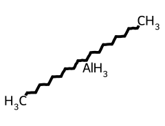 CCCCCCCCCCCCCCCCCCCC.[AlH3]